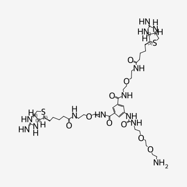 N=C1N[C@H]2[C@H](CS[C@H]2CCCCC(=O)NCCOCCNC(=O)c2cc(NC(=O)NCCOCCOCCN)cc(C(=O)NCCOCCNC(=O)CCCC[C@@H]3SC[C@@H]4NC(=N)N[C@@H]43)c2)N1